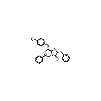 O=C1C(Cc2ccccc2)=NC2=C(Sc3ccc(Cl)cc3)CN(c3ccccc3)CN12